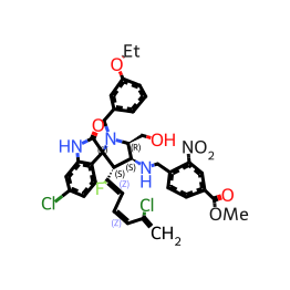 C=C(Cl)/C=C\C=C(/F)[C@H]1[C@H](NCc2ccc(C(=O)OC)cc2[N+](=O)[O-])[C@H](CO)N(Cc2cccc(OCC)c2)[C@@]12C(=O)Nc1cc(Cl)ccc12